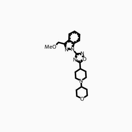 COCc1nn(-c2noc(C3CCN(C4CCOCC4)CC3)n2)c2ccccc12